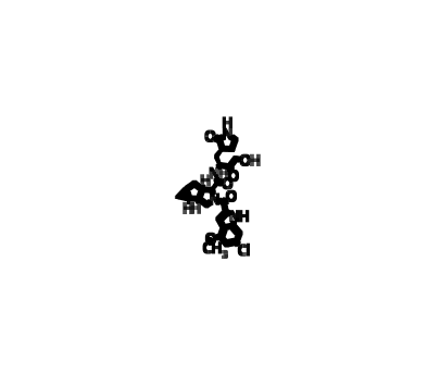 COc1cc(Cl)cc2[nH]c(C(=O)N3C[C@H]4[C@H](CC5C[C@@H]54)[C@H]3C(=O)N[C@@H](C[C@@H]3CCNC3=O)C(=O)CO)cc12